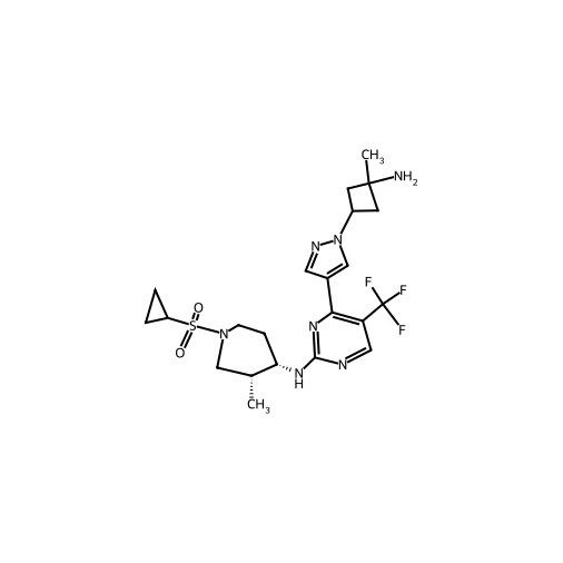 C[C@@H]1CN(S(=O)(=O)C2CC2)CC[C@@H]1Nc1ncc(C(F)(F)F)c(-c2cnn(C3CC(C)(N)C3)c2)n1